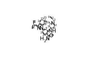 C#CCN1CCC(Nc2cc(-n3nc(C(F)F)c4c3CC(C)(C)CC4)ccc2C(N)=O)CC1